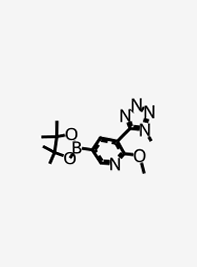 COc1ncc(B2OC(C)(C)C(C)(C)O2)cc1-c1nnnn1C